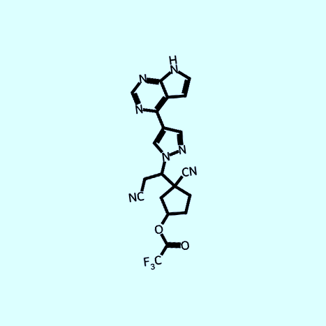 N#CCC(n1cc(-c2ncnc3[nH]ccc23)cn1)C1(C#N)CCC(OC(=O)C(F)(F)F)C1